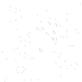 COC1CCN(c2ccc(Nc3nc(N)c4nc[nH]c4n3)cc2)CC1